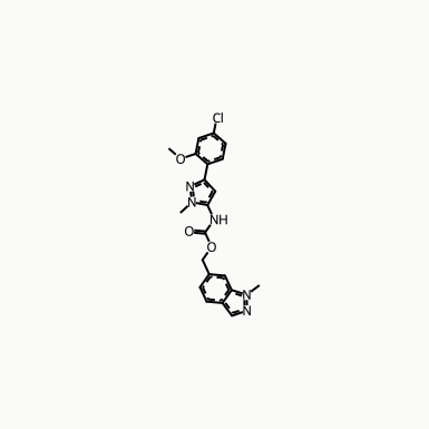 COc1cc(Cl)ccc1-c1cc(NC(=O)OCc2ccc3cnn(C)c3c2)n(C)n1